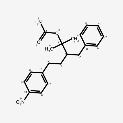 CC(C)(OC(N)=O)C(CCc1ccc([N+](=O)[O-])cc1)Cc1ccccc1